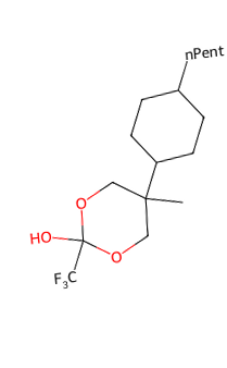 CCCCCC1CCC(C2(C)COC(O)(C(F)(F)F)OC2)CC1